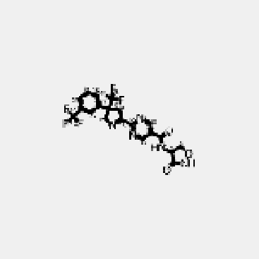 O=C(NC1CONC1=O)c1cnc(C2=NCC(c3cccc(C(F)(F)F)c3)(C(F)(F)F)C2)nc1